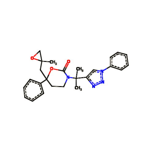 CC1(CC2(c3ccccc3)CCN(C(C)(C)c3cn(-c4ccccc4)nn3)C(=O)O2)CO1